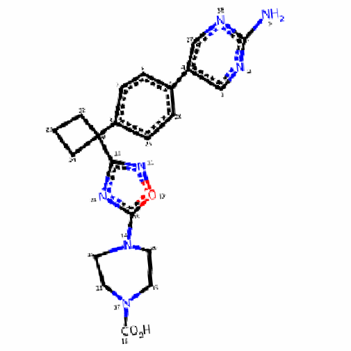 Nc1ncc(-c2ccc(C3(c4noc(N5CCN(C(=O)O)CC5)n4)CCC3)cc2)cn1